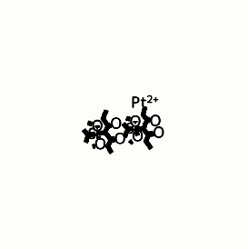 CCC(=O)C(C(=O)CC)[Si](OC)(OC)C(C)C.CCC(=O)C(C(=O)CC)[Si](OC)(OC)C(C)C.[Pt+2]